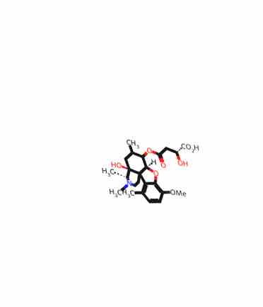 COc1ccc(C)c2c1O[C@@H]1C(OC(=O)C[C@@H](O)C(=O)O)C(C)C[C@@]3(O)[C@@H](C)N(C)CCC213